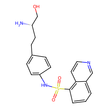 N[C@H](CO)CCc1ccc(NS(=O)(=O)c2cccc3cnccc23)cc1